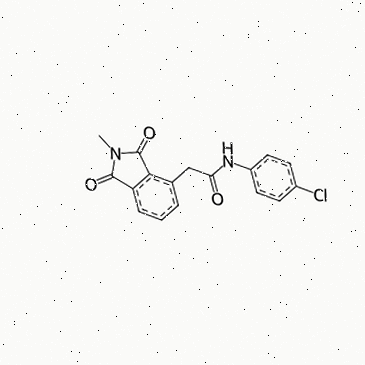 CN1C(=O)c2cccc(CC(=O)Nc3ccc(Cl)cc3)c2C1=O